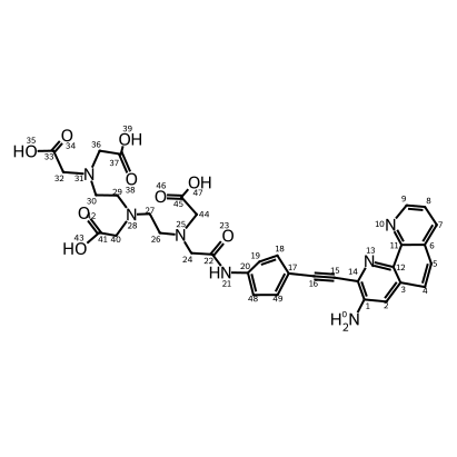 Nc1cc2ccc3cccnc3c2nc1C#Cc1ccc(NC(=O)CN(CCN(CCN(CC(=O)O)CC(=O)O)CC(=O)O)CC(=O)O)cc1